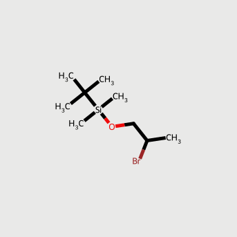 CC(Br)CO[Si](C)(C)C(C)(C)C